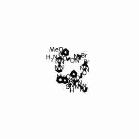 COc1ccccc1Oc1c(N)nc(-c2ncccn2)nc1OCCOc1ncc(Br)cn1.COc1ccccc1Oc1c(NS(=O)(=O)c2ccc3ccccc3c2)nc(-c2ncccn2)nc1OCCOc1ncc(Br)cn1